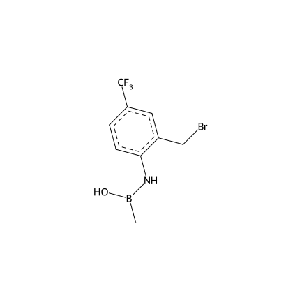 CB(O)Nc1ccc(C(F)(F)F)cc1CBr